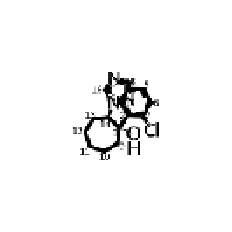 O[C@]1(c2ccccc2Cl)CCCCC[C@H]1n1cncn1